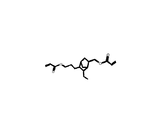 C=CC(=O)OCCCC1C2CC(COC(=O)C=C)C(C2)C1CC